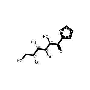 O=C(c1cccs1)[C@H](O)[C@@H](O)[C@@H](O)[C@H](O)CO